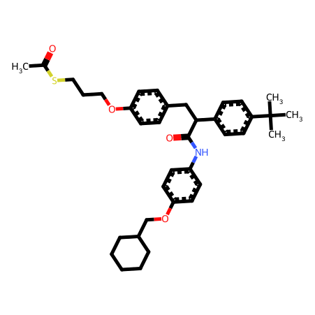 CC(=O)SCCCOc1ccc(CC(C(=O)Nc2ccc(OCC3CCCCC3)cc2)c2ccc(C(C)(C)C)cc2)cc1